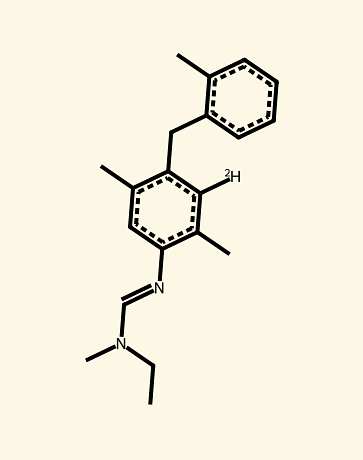 [2H]c1c(C)c(N=CN(C)CC)cc(C)c1Cc1ccccc1C